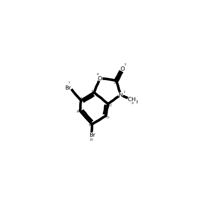 Cn1c(=O)oc2c(Br)cc(Br)cc21